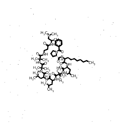 CCCCCCCCC(NC(=O)[C@@H]1CCCN1C(=O)c1ccccc1)C(=O)NC(CC(C)C)C(=O)NC(C)(C)C(=O)NC(CC(C)C)C(=O)NC(CC(C)C)C(=O)NC(C)(C)C(=O)NC(C)(C)C(=O)NCCC(=O)NC(C)CN(C)C